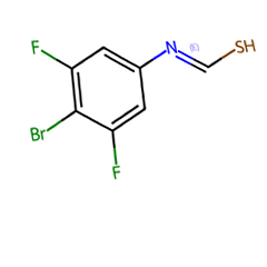 Fc1cc(/N=C/S)cc(F)c1Br